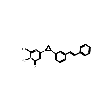 Cn1c(N)nc([C@H]2C[C@H]2c2cccc(/C=C/c3ccccc3)c2)cc1=O